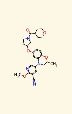 COc1ncc(N2CC(C)Oc3ccc(OC4CCN(C(=O)C5CCOCC5)C4)cc32)cc1C#N